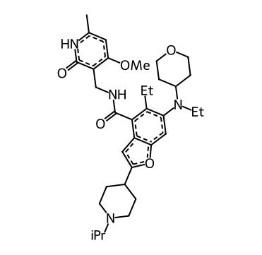 CCc1c(N(CC)C2CCOCC2)cc2oc(C3CCN(C(C)C)CC3)cc2c1C(=O)NCc1c(OC)cc(C)[nH]c1=O